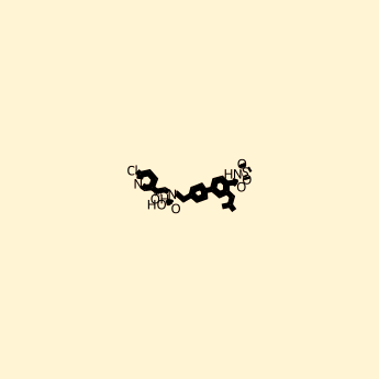 CC(C)Cc1cc(-c2ccc(CCN(C[C@H](O)c3ccc(Cl)nc3)C(=O)O)cc2)ccc1C(=O)NS(C)(=O)=O